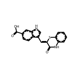 O=C1Nc2ccccc2S/C1=C\c1c[nH]c2cc(C(=O)O)ccc12